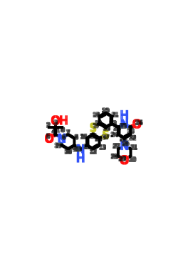 CC(C)(O)C(=O)N1CCC(Nc2ccc3c(c2)Sc2cccc(-c4cc(N5CCOCC5)cc(=O)[nH]4)c2S3)CC1